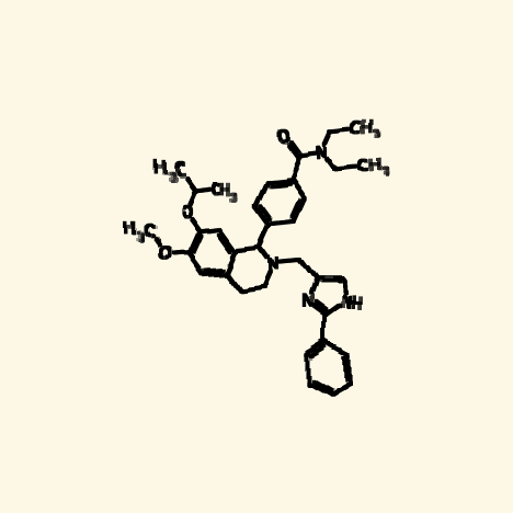 CCN(CC)C(=O)c1ccc(C2c3cc(OC(C)C)c(OC)cc3CCN2Cc2c[nH]c(-c3ccccc3)n2)cc1